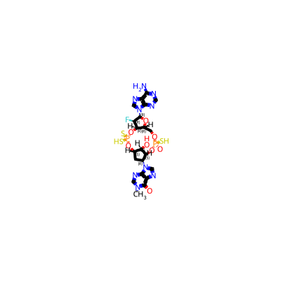 Cn1cnc2c(ncn2[C@@H]2C[C@@H]3OP(=S)(S)O[C@H]4[C@@H](F)[C@H](n5cnc6c(N)ncnc65)O[C@@H]4COP(=O)(S)O[C@@H]2[C@@H]3O)c1=O